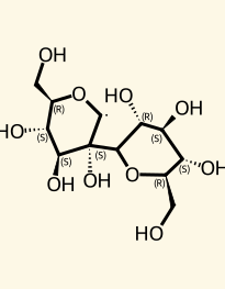 OC[C@H]1O[CH][C@@](O)(C2O[C@H](CO)[C@@H](O)[C@H](O)[C@H]2O)[C@@H](O)[C@@H]1O